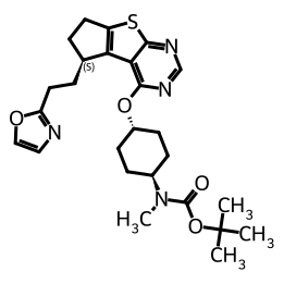 CN(C(=O)OC(C)(C)C)[C@H]1CC[C@H](Oc2ncnc3sc4c(c23)[C@@H](CCc2ncco2)CC4)CC1